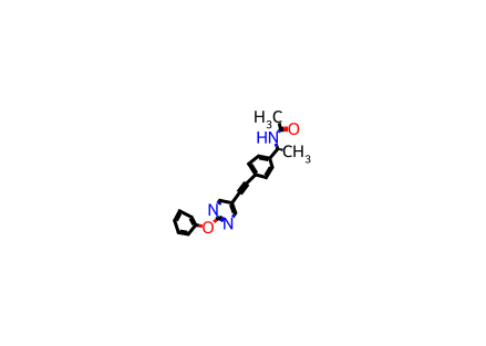 CC(=O)N[C@@H](C)c1ccc(C#Cc2cnc(Oc3ccccc3)nc2)cc1